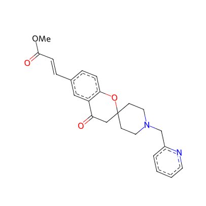 COC(=O)/C=C/c1ccc2c(c1)C(=O)CC1(CCN(Cc3ccccn3)CC1)O2